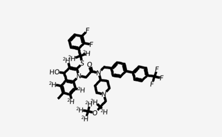 [2H]C1=C(SC([2H])([2H])c2cccc(F)c2F)N(CC(=O)N(Cc2ccc(-c3ccc(C(F)(F)F)cc3)cc2)C2CCN(CC([2H])([2H])OC([2H])([2H])[2H])CC2)c2c([2H])c([2H])c(C)c([2H])c2C1O